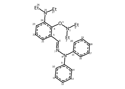 CCN(CC)Oc1c(C=NN(c2ccccc2)c2ccccc2)cccc1N(CC)CC